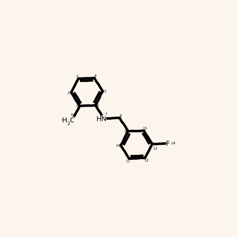 [CH2]c1ccccc1NCc1cccc(F)c1